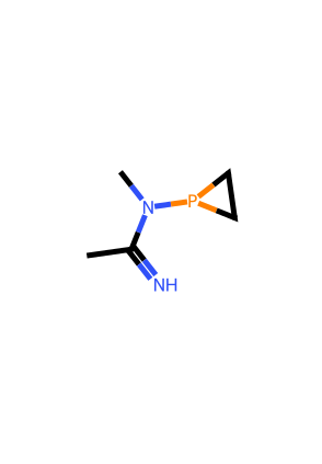 CC(=N)N(C)P1CC1